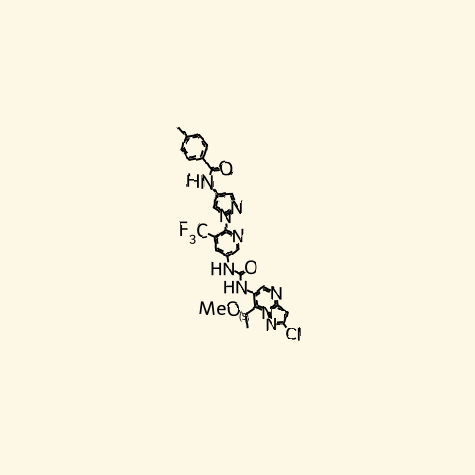 CO[C@@H](C)c1c(NC(=O)Nc2cnc(-n3cc(NC(=O)c4ccc(C)cc4)cn3)c(C(F)(F)F)c2)cnc2cc(Cl)nn12